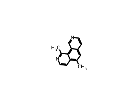 Cc1cc2ccncc2c2c(C)nccc12